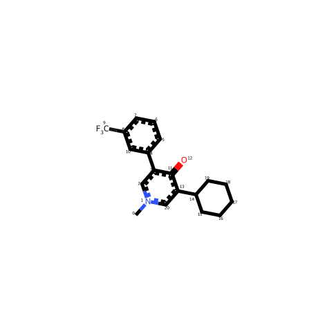 Cn1cc(-c2cccc(C(F)(F)F)c2)c(=O)c(C2CCCCC2)c1